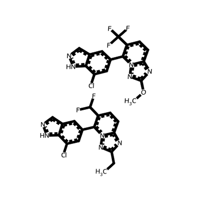 CCc1nc2ccc(C(F)F)c(-c3cc(Cl)c4[nH]ncc4c3)n2n1.COc1nc2ccc(C(F)(F)F)c(-c3cc(Cl)c4[nH]ncc4c3)n2n1